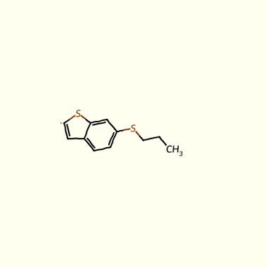 CCCSc1ccc2c[c]sc2c1